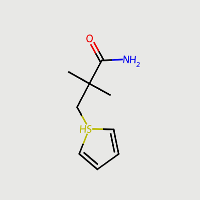 CC(C)(C[SH]1C=CC=C1)C(N)=O